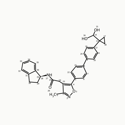 Cc1noc(-c2ccc(-c3ccc(C4(C(O)O)CC4)cc3)cc2)c1CC(=O)N[C@H]1CCc2ccccc21